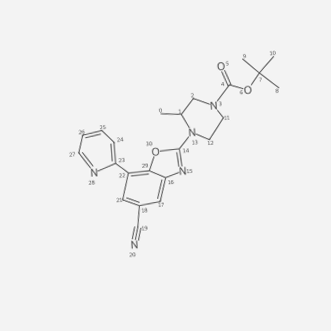 CC1CN(C(=O)OC(C)(C)C)CCN1c1nc2cc(C#N)cc(-c3ccccn3)c2o1